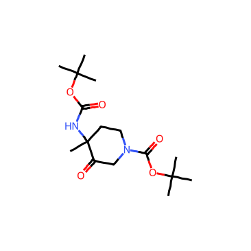 CC(C)(C)OC(=O)NC1(C)CCN(C(=O)OC(C)(C)C)CC1=O